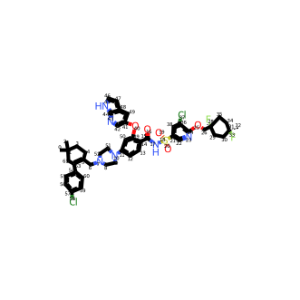 CC1(C)CCC(CN2CCN(c3ccc(C(=O)NS(=O)(=O)c4cnc(OC[C@]5(F)CC[C@](C)(F)CC5)c(Cl)c4)c(Oc4cnc5[nH]ccc5c4)c3)CC2)=C(c2ccc(Cl)cc2)C1